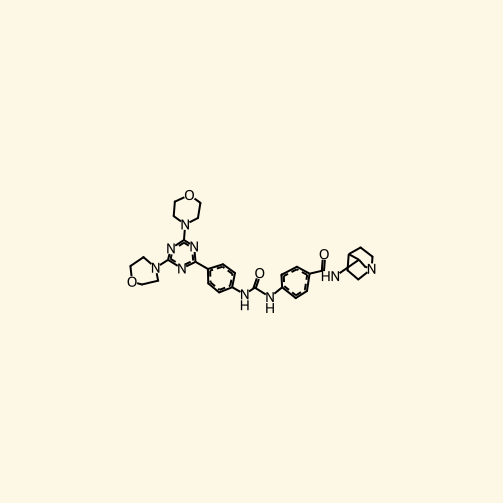 O=C(Nc1ccc(C(=O)NC2CN3CCC2CC3)cc1)Nc1ccc(-c2nc(N3CCOCC3)nc(N3CCOCC3)n2)cc1